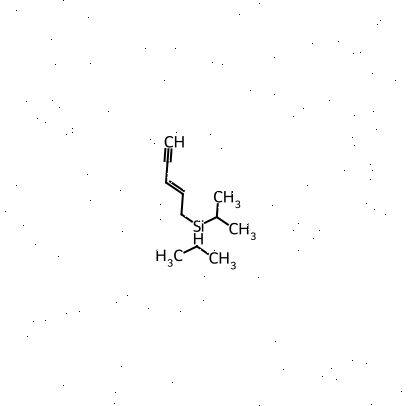 C#CC=CC[SiH](C(C)C)C(C)C